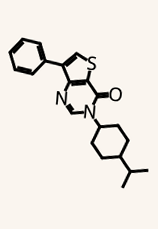 CC(C)C1CCC(n2cnc3c(-c4ccccc4)csc3c2=O)CC1